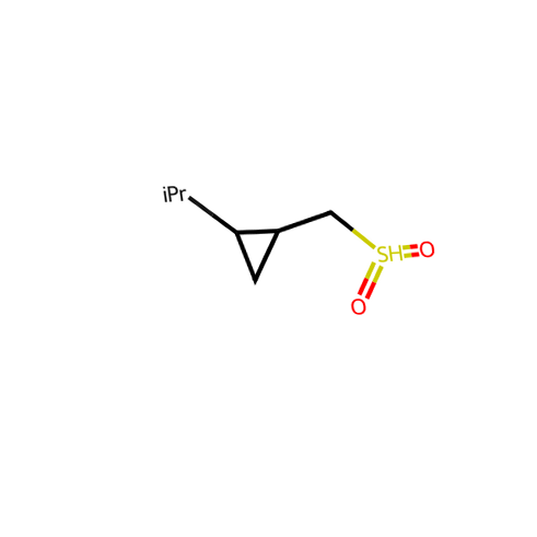 CC(C)C1CC1C[SH](=O)=O